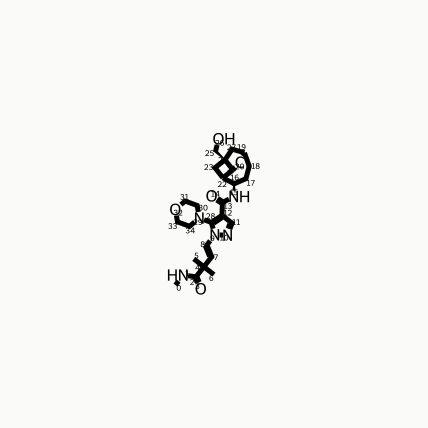 CNC(=O)C(C)(C)/C=C/n1ncc(C(=O)N[C@@H]2CCC3CC4C2C[C@]4(CO)C3)c1N1CCOCC1